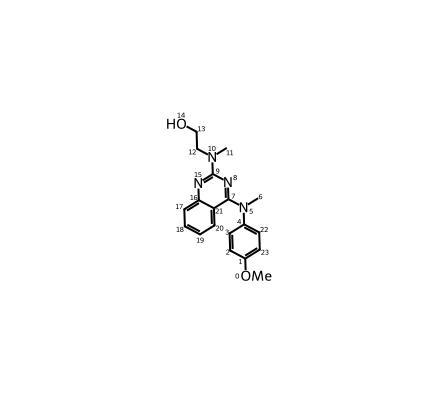 COc1ccc(N(C)c2nc(N(C)CCO)nc3ccccc23)cc1